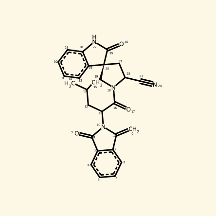 C=C1c2ccccc2C(=O)N1C(CC(C)C)C(=O)N1C[C@]2(CC1C#N)C(=O)Nc1ccccc12